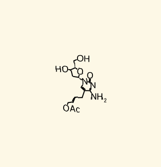 CC(=O)OCC=CCc1cn([C@H]2CC(O)[C@@H](CO)O2)c(=O)nc1N